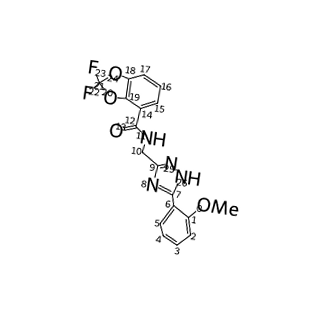 COc1ccccc1-c1nc(CNC(=O)c2cccc3c2OC(F)(F)O3)n[nH]1